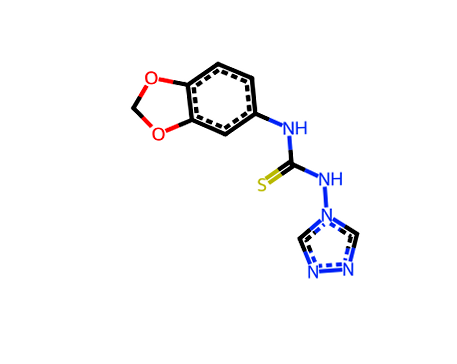 S=C(Nc1ccc2c(c1)OCO2)Nn1cnnc1